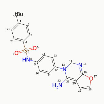 CC(C)(C)c1ccc(S(=O)(=O)Nc2ccc(N3CN=c4occc4=C3N)cc2)cc1